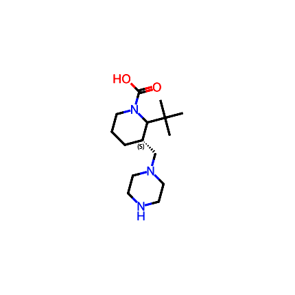 CC(C)(C)C1[C@H](CN2CCNCC2)CCCN1C(=O)O